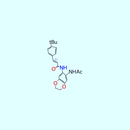 CC(=O)Nc1cc2c(cc1NC(=O)/C=C/c1ccc(C(C)(C)C)cc1)OCCO2